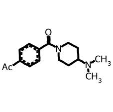 CC(=O)c1ccc(C(=O)N2CCC(N(C)C)CC2)cc1